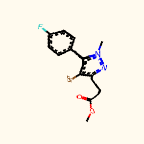 COC(=O)Cc1nn(C)c(-c2ccc(F)cc2)c1Br